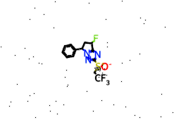 [O-][S@+](CC(F)(F)F)c1nc2n(n1)C(c1ccccc1)CC2F